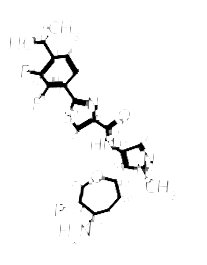 C[C@H](O)c1ccc(-c2nc(C(=O)Nc3cnn(C)c3[C@@H]3CC[C@@H](N)[C@H](F)CO3)cs2)c(F)c1F